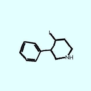 IC1CCNCC1c1ccccc1